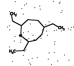 CCC1CCC(CC)[N]C(CC)CC1